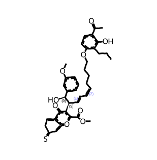 CCCc1c(OCCCC/C=C\C=C\[C@@H](c2c(C(=O)OC)oc3c(c2=O)=CCC(=S)C=3)[C@@H](O)c2cccc(OC)c2)ccc(C(C)=O)c1O